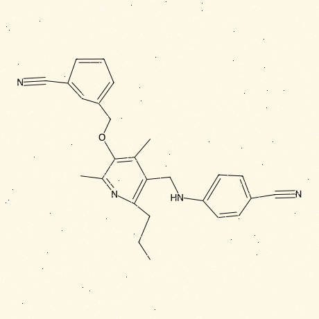 CCCc1nc(C)c(OCc2cccc(C#N)c2)c(C)c1CNc1ccc(C#N)cc1